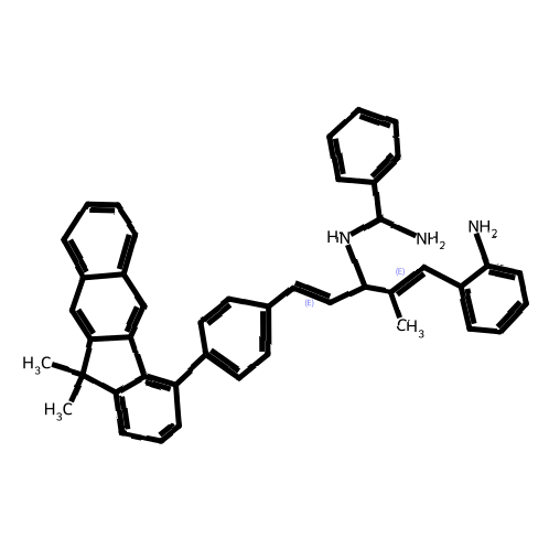 C/C(=C\c1ccccc1N)C(/C=C/c1ccc(-c2cccc3c2-c2cc4ccccc4cc2C3(C)C)cc1)NC(N)c1ccccc1